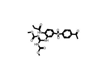 CCC(=O)Nc1ccc(S(=O)(=O)c2ccc(C(C)=O)cc2)cc1NC(=NC(=O)OC)NC(=O)OC